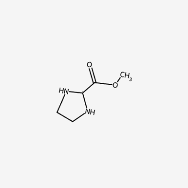 COC(=O)[C]1NCCN1